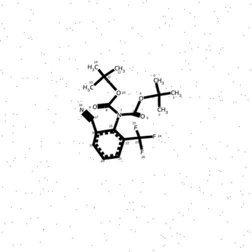 CC(C)(C)OC(=O)N(C(=O)OC(C)(C)C)c1c(C#N)cccc1C(F)(F)F